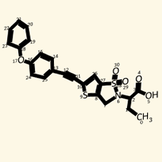 CCC(C(=O)O)N1Cc2sc(C#Cc3ccc(Oc4ccccc4)cc3)cc2S1(=O)=O